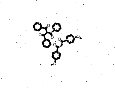 COc1ccc(C(=O)CC(=O)c2ccc(OC)cc2)cc1.O=C(c1ccccc1)C(C(=O)c1ccccc1)C(=O)c1ccccc1